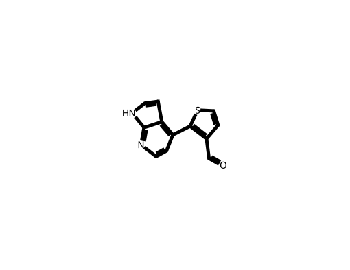 O=Cc1ccsc1-c1ccnc2[nH]ccc12